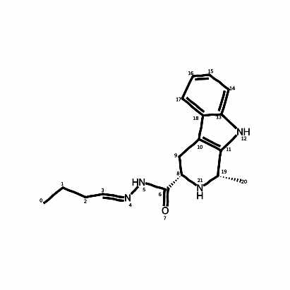 CCC/C=N/NC(=O)[C@@H]1Cc2c([nH]c3ccccc23)[C@H](C)N1